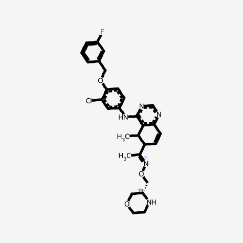 C/C(=N\OC[C@H]1COCCN1)C1C=Cc2ncnc(Nc3ccc(OCC4=CC(F)=C=C=C4)c(Cl)c3)c2C1C